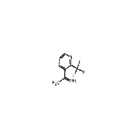 C=C(C)c1cccnc1C(F)(F)F